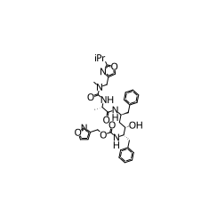 CC(C)c1nc(CN(C)C(=O)N[C@@H](C)C(=O)N[C@@H](Cc2ccccc2)C[C@H](O)[C@H](Cc2ccccc2)NC(=O)OCc2ccon2)co1